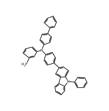 Pc1cccc(N(c2ccc(-c3ccccc3)cc2)c2ccc(-c3ccc4c(c3)c3ccccc3n4-c3ccccc3)cc2)c1